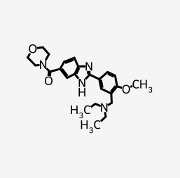 CCN(CC)Cc1cc(-c2nc3ccc(C(=O)N4CCOCC4)cc3[nH]2)ccc1OC